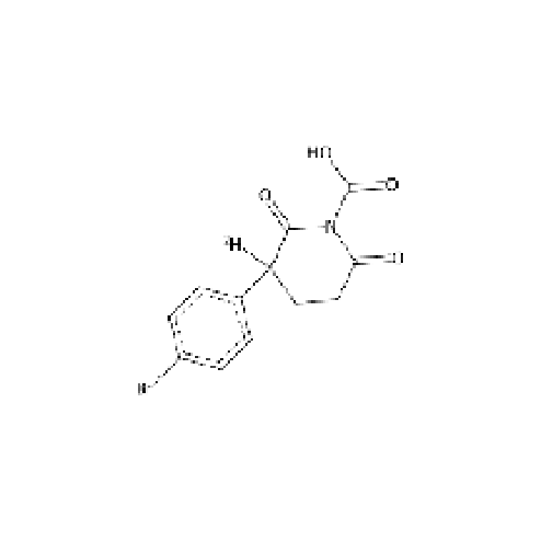 [2H]C1(c2ccc(Br)cc2)CCC(=O)N(C(=O)O)C1=O